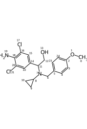 COc1ccc(CN(C2CC2)C(CO)c2cc(Cl)c(N)c(Cl)c2)cc1